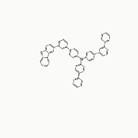 c1ccc(-c2ccc(N(c3ccc(-c4cccc(-c5ccccc5)c4)cc3)c3ccc(-c4cccc(-c5ccc6sc7ccccc7c6c5)c4)cc3)cc2)cc1